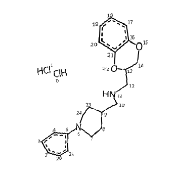 Cl.Cl.c1ccc(N2CCC(CNCC3COc4ccccc4O3)CC2)cc1